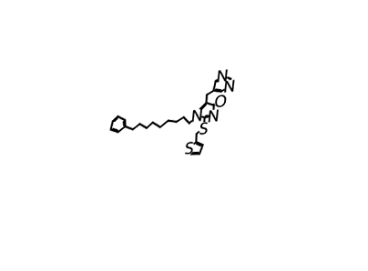 O=c1nc(SCc2cccs2)n(CCCCCCCCCc2ccccc2)cc1Cc1cncnc1